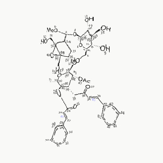 COC(O[C@@H]1O[C@H](CO)[C@@H](O)[C@H](O)[C@H]1O)C1C[C@H](O[C@@H]2O[C@@H](C)[C@H](OC(=O)/C=C/c3ccccc3)[C@@H](CC(=O)/C=C/c3ccccc3)[C@H]2OC(C)=O)[C@@H]2O[C@]12CO